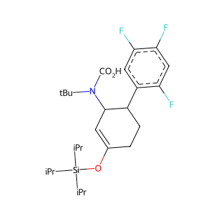 CC(C)[Si](OC1=CC(N(C(=O)O)C(C)(C)C)C(c2cc(F)c(F)cc2F)CC1)(C(C)C)C(C)C